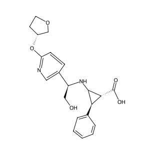 O=C(O)[C@H]1C(N[C@@H](CO)c2ccc(O[C@@H]3CCOC3)nc2)[C@@H]1c1ccccc1